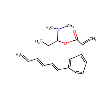 C=CC(=O)OC(CC)N(C)C.C=CC=CC=Cc1ccccc1